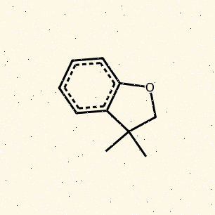 CC1(C)COc2ccccc21